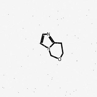 [c]1cnc2n1COCC2